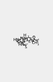 CN(C(=O)C1CC1)c1ccc(Nc2nc(NC3CC3)c3cc[nH]c3n2)cc1